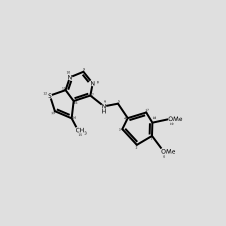 COc1ccc(CNc2ncnc3scc(C)c23)cc1OC